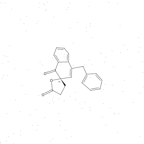 O=C1CC[C@@]2(C=C(Cc3ccccc3)c3ccccc3C2=O)O1